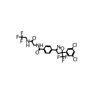 O=C(CNC(=O)c1ccc(C2=NOC(c3cc(Cl)cc(Cl)c3)(C(F)(F)F)C2)cc1)NCC(F)(F)F